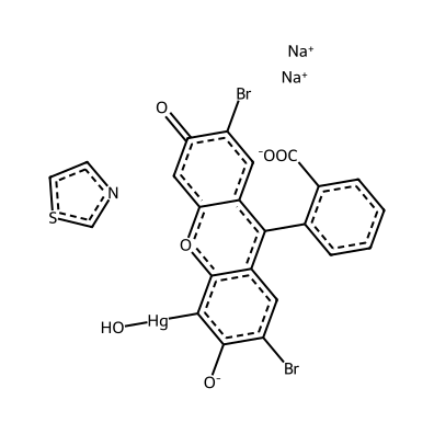 O=C([O-])c1ccccc1-c1c2cc(Br)c(=O)cc-2oc2[c]([Hg][OH])c([O-])c(Br)cc12.[Na+].[Na+].c1cscn1